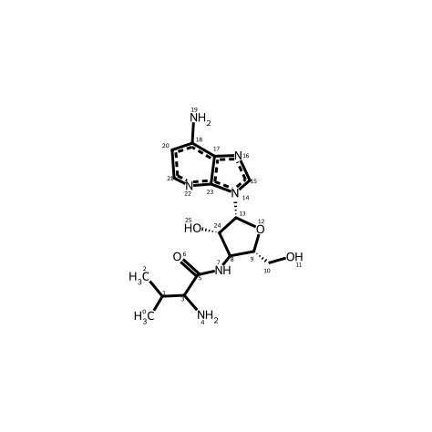 CC(C)C(N)C(=O)NC1[C@@H](CO)O[C@@H](n2cnc3c(N)ccnc32)[C@H]1O